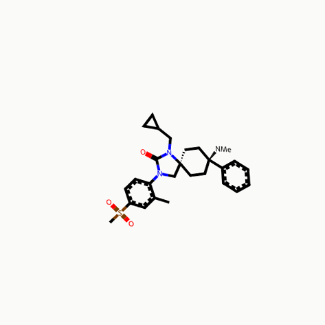 CN[C@]1(c2ccccc2)CC[C@]2(CC1)CN(c1ccc(S(C)(=O)=O)cc1C)C(=O)N2CC1CC1